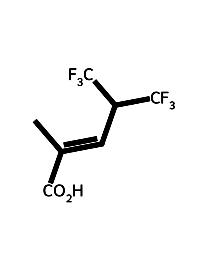 CC(=CC(C(F)(F)F)C(F)(F)F)C(=O)O